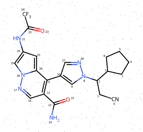 N#CCC(C1CCCC1)n1cc(-c2c(C(N)=O)cnn3cc(NC(=O)C(F)(F)F)cc23)cn1